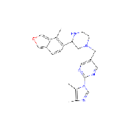 Cc1ncn(-c2ncc(CN3CCNC(c4ccc5cocc5c4C)C3)cn2)c1C